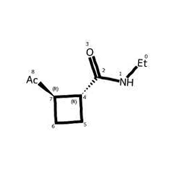 CCNC(=O)[C@@H]1CC[C@H]1C(C)=O